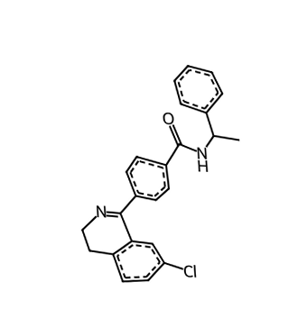 CC(NC(=O)c1ccc(C2=NCCc3ccc(Cl)cc32)cc1)c1ccccc1